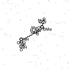 COc1cc(-c2cn(C)c(=O)c3cnccc23)cc(OC)c1CN1CC(N)(C(=O)NCCCCCCCCNc2cccc3c2C(=O)N(C2CCC(=O)NC2=O)C3=O)C1